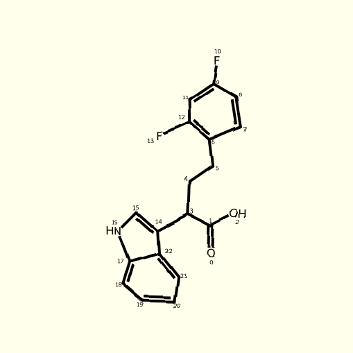 O=C(O)C(CCc1ccc(F)cc1F)c1c[nH]c2ccccc12